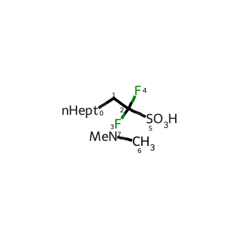 CCCCCCCCC(F)(F)S(=O)(=O)O.CNC